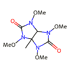 CON1C(=O)N(OC)C2(C)C1N(OC)C(=O)N2OC